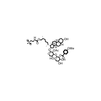 COc1ccc(C(=O)O[C@H]2[C@H](O[C@@H]3[C@@H](OC(C)=O)[C@H](O[C@H]4C[C@H]5[C@@H]6CC[C@H]7C[C@@H](O)CC[C@]7(C)[C@H]6CC[C@]5(C)[C@H]4[C@H](C)CCC[C@@H](C)COC(=O)NCCS(C)(=O)=O)OC[C@@H]3O)OC[C@@H](O)[C@@H]2O)cc1